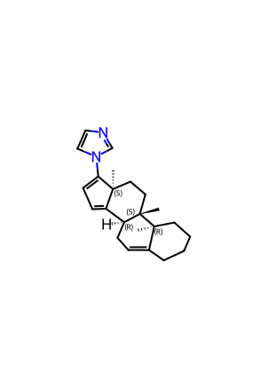 C[C@]12CC[C@@]3(C)[C@@H](CC=C4CCCC[C@@]43C)C1=CC=C2n1ccnc1